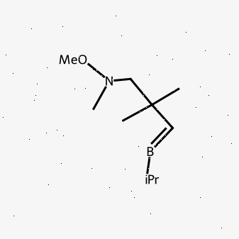 CON(C)CC(C)(C)/C=B/C(C)C